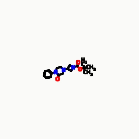 CC(C)(C)OC(=O)N1CC(N2CCN(c3ccccc3)C(=O)C2)C1